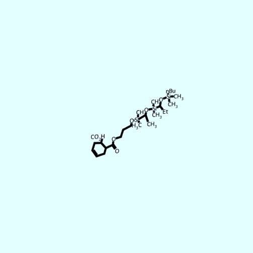 CCCC[Si](C)(C)OC(CC)[Si](C)(C)OC(C)[Si](C)(C)OCCCOC(=O)C1CC=CCC1C(=O)O